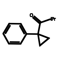 CC(C)C(=O)C1(c2ccccc2)CC1